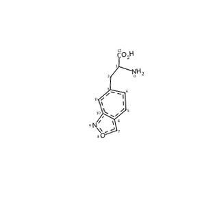 NC(Cc1ccc2conc2c1)C(=O)O